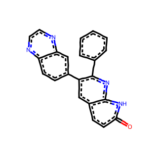 O=c1ccc2cc(-c3ccc4nccnc4c3)c(-c3ccccc3)nc2[nH]1